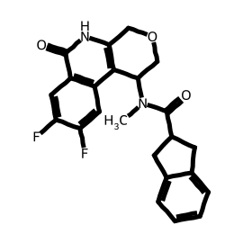 CN(C(=O)C1Cc2ccccc2C1)C1COCc2[nH]c(=O)c3cc(F)c(F)cc3c21